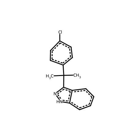 CC(C)(c1ccc(Cl)cc1)c1n[nH]c2ccccc12